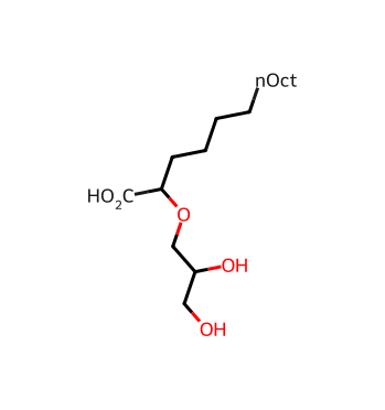 CCCCCCCCCCCCC(OCC(O)CO)C(=O)O